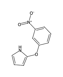 O=[N+]([O-])c1cccc(Oc2ccc[nH]2)c1